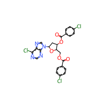 O=C(OCC1OC(n2cnc3c(Cl)ncnc32)CC1OC(=O)c1ccc(Cl)cc1)c1ccc(Cl)cc1